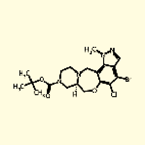 Cn1ncc2c(Br)c(Cl)c3c(c21)CN1CCN(C(=O)OC(C)(C)C)C[C@@H]1CO3